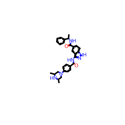 CC1CN(c2ccc(C(=O)Nc3n[nH]c4ccc(C(=O)NC(C)c5ccccc5)cc34)cc2)CC(C)N1